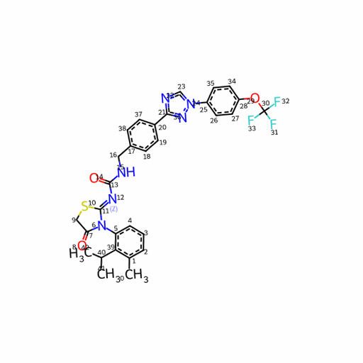 Cc1cccc(N2C(=O)CS/C2=N\C(=O)NCc2ccc(-c3ncn(-c4ccc(OC(F)(F)F)cc4)n3)cc2)c1C(C)C